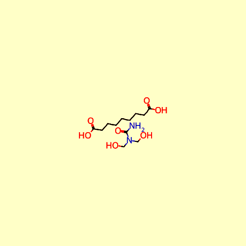 NC(=O)N(CO)CO.O=C(O)CCCCCCCC(=O)O